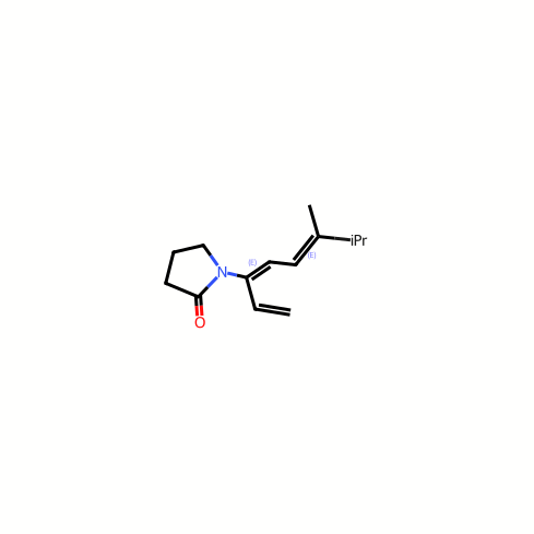 C=C/C(=C\C=C(/C)C(C)C)N1CCCC1=O